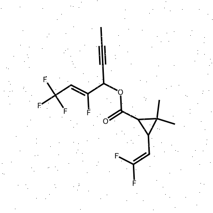 CC#CC(OC(=O)C1C(C=C(F)F)C1(C)C)C(F)=CC(F)(F)F